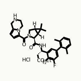 CCOC(=O)C[C@H](NC(=O)[C@@H]1[C@@H]2[C@H](CN1C(=O)c1ccc3n1CCNC3)C2(C)C)c1cc(-c2c(C)cccc2C)cc(F)c1F.Cl